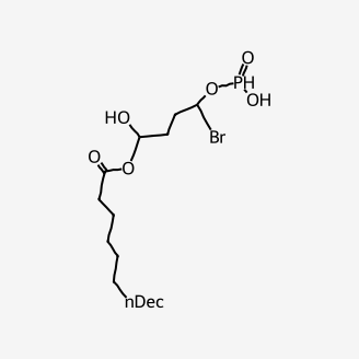 CCCCCCCCCCCCCCCC(=O)OC(O)CCC(Br)O[PH](=O)O